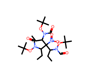 CCC(N(C=O)OC(C)(C)C)C(C(CC)N(C=O)OC(C)(C)C)(C(CC)N(C=O)OC(C)(C)C)[N+](=O)[O-]